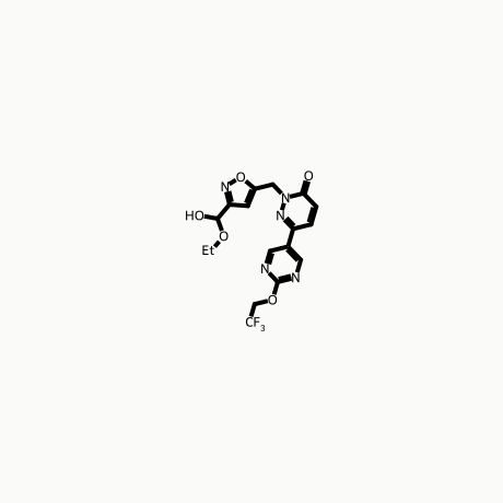 CCOC(O)c1cc(Cn2nc(-c3cnc(OCC(F)(F)F)nc3)ccc2=O)on1